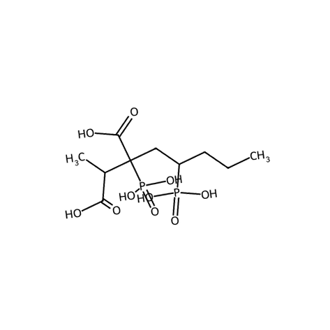 CCCC(CC(C(=O)O)(C(C)C(=O)O)P(=O)(O)O)P(=O)(O)O